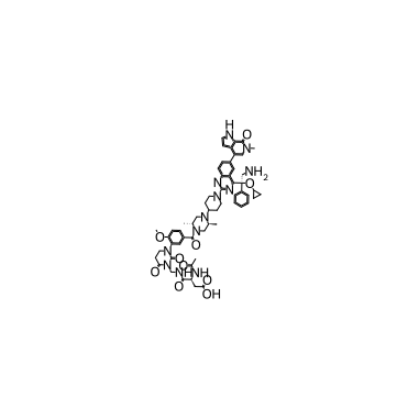 COc1ccc(C(=O)N2C[C@H](C)N(C3CCN(c4nc([C@@](CN)(OC5CC5)c5ccccc5)c5cc(-c6cn(C)c(=O)c7[nH]ccc67)ccc5n4)CC3)C[C@H]2C)cc1N1CCC(=O)N(CNC(=O)[C@H](CC(=O)O)NC(C)=O)C1=O